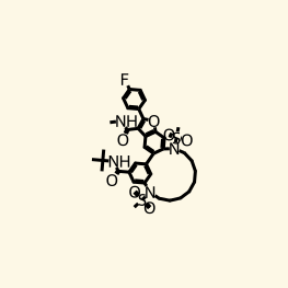 CNC(=O)c1c(-c2ccc(F)cc2)oc2cc3c(cc12)-c1cc(C(=O)NC(C)(C)C)cc(c1)N(S(C)(=O)=O)CCCCCCCCN3S(C)(=O)=O